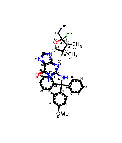 COc1ccc(C(Nc2nc3c(ncn3[C@@H]3O[C@](F)(CI)[C@@H](C)[C@@]3(C)F)c(=O)[nH]2)(c2ccccc2)c2ccccc2)cc1